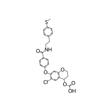 CSc1ccc(CCNC(=O)c2ccc(Oc3cc4c(cc3Cl)C(OC(=O)O)CCO4)cc2)cc1